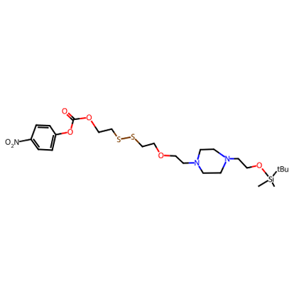 CC(C)(C)[Si](C)(C)OCCN1CCN(CCOCCSSCCOC(=O)Oc2ccc([N+](=O)[O-])cc2)CC1